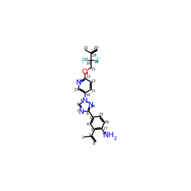 C=C(C)c1cc(-c2ncn(-c3ccc(OCC(F)(F)C(=C)C)nc3)n2)ccc1N